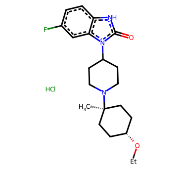 CCO[C@H]1CC[C@](C)(N2CCC(n3c(=O)[nH]c4ccc(F)cc43)CC2)CC1.Cl